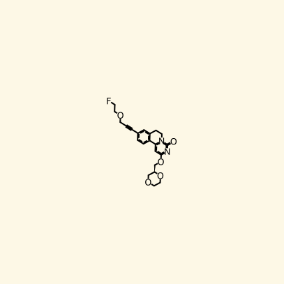 O=c1nc(OC[C@@H]2COCCO2)cc2n1CCc1cc(C#CCOCCF)ccc1-2